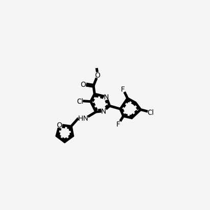 COC(=O)c1nc(-c2c(F)cc(Cl)cc2F)nc(NCc2ccco2)c1Cl